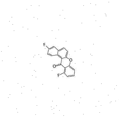 O=c1c2c(F)cccc2oc2ccc3cc(F)ccc3c12